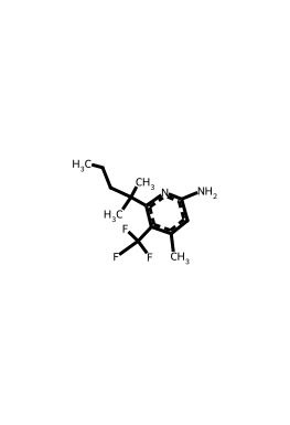 CCCC(C)(C)c1nc(N)cc(C)c1C(F)(F)F